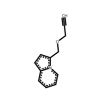 C#CCOCc1ccc2ccccn12